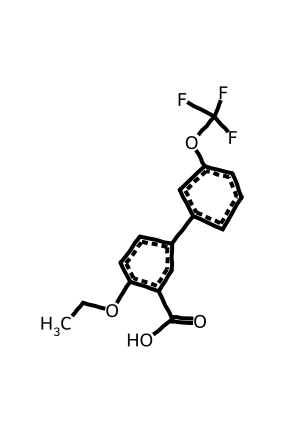 CCOc1ccc(-c2cccc(OC(F)(F)F)c2)cc1C(=O)O